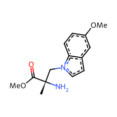 COC(=O)[C@@](C)(N)Cn1ccc2cc(OC)ccc21